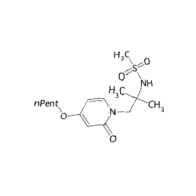 CCCCCOc1ccn(CC(C)(C)NS(C)(=O)=O)c(=O)c1